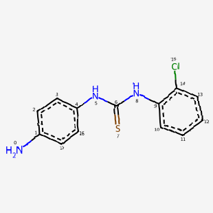 Nc1ccc(NC(=S)Nc2ccccc2Cl)cc1